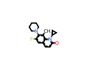 Cc1c(N2CCCCC2)c(F)cc2ccc(=O)n(C3CC3)c12